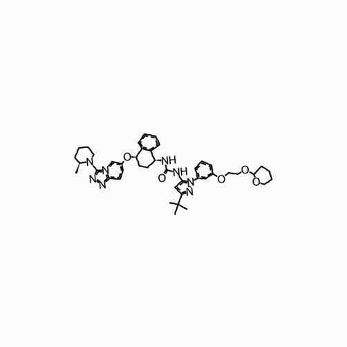 C[C@H]1CCCCN1c1nnc2ccc(O[C@@H]3CC[C@H](NC(=O)Nc4cc(C(C)(C)C)nn4-c4cccc(OCCOC5CCCCO5)c4)c4ccccc43)cn12